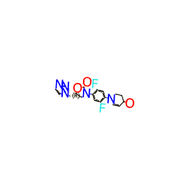 O=C1C=CN(c2cc(F)c(N3C[C@H](Cn4ccnn4)OC3=O)cc2F)CC1